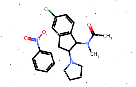 CC(=O)N(C)C1c2ccc(Cl)cc2CC1N1CCCC1.O=[N+]([O-])c1ccccc1